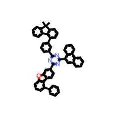 CC1(C)c2ccccc2-c2c(-c3cccc(-c4nc(-c5ccc6c(c5)oc5cccc(-c7ccccc7)c56)nc(-c5cc6ccccc6c6ccccc56)n4)c3)cccc21